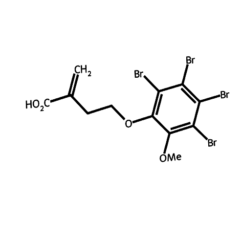 C=C(CCOc1c(Br)c(Br)c(Br)c(Br)c1OC)C(=O)O